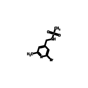 Cc1cc(CNS(C)(=O)=O)cc(Br)n1